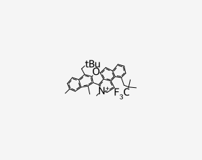 Cc1ccc2c(CC(C)(C)C)c3c(c(C)c2c1)-c1c2c(cc4cccc(CC(C)(C)C(F)(F)F)c4c2cc[n+]1C)O3